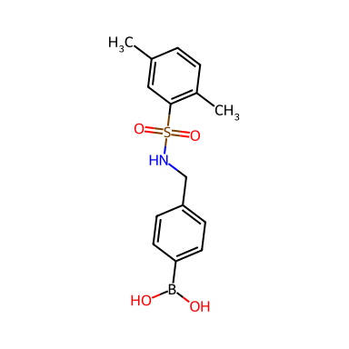 Cc1ccc(C)c(S(=O)(=O)NCc2ccc(B(O)O)cc2)c1